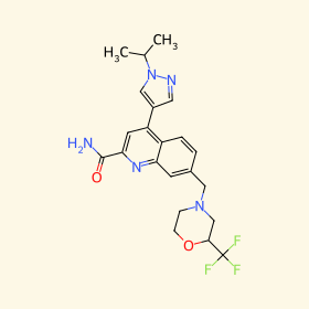 CC(C)n1cc(-c2cc(C(N)=O)nc3cc(CN4CCOC(C(F)(F)F)C4)ccc23)cn1